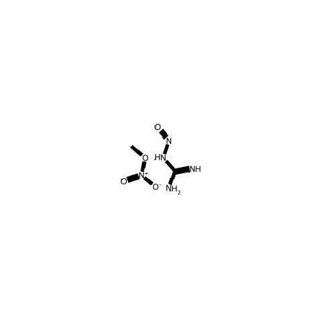 CO[N+](=O)[O-].N=C(N)NN=O